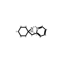 NC1(Cc2ccccn2)CCCCC1